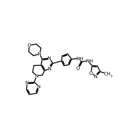 Cc1cc(NC(=O)Nc2ccc(-c3nc4c(c(N5CCOCC5)n3)CCN(c3ncccn3)C4)cc2)on1